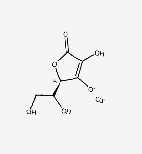 O=C1O[C@H](C(O)CO)C([O-])=C1O.[Cu+]